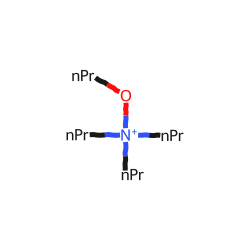 CCCO[N+](CCC)(CCC)CCC